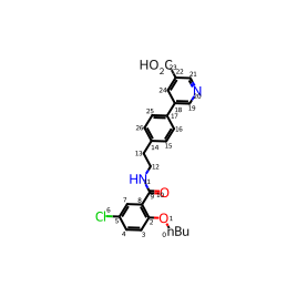 CCCCOc1ccc(Cl)cc1C(=O)NCCc1ccc(-c2cncc(C(=O)O)c2)cc1